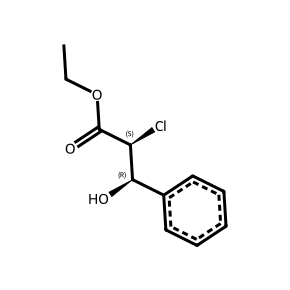 CCOC(=O)[C@@H](Cl)[C@H](O)c1ccccc1